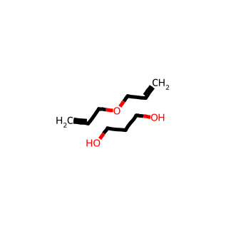 C=CCOCC=C.OCCCO